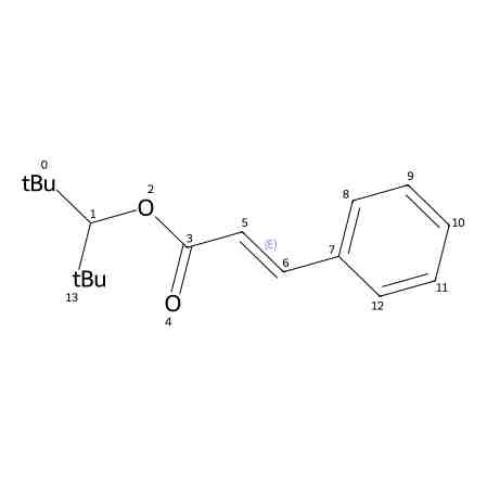 CC(C)(C)C(OC(=O)/C=C/c1ccccc1)C(C)(C)C